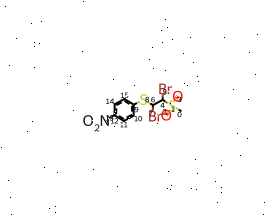 CS(=O)(=O)C(Br)C(Br)Sc1ccc([N+](=O)[O-])cc1